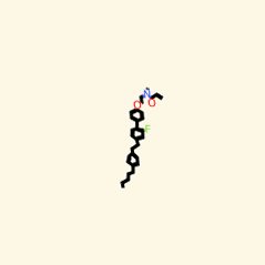 C=CC(=O)N(C)CCOc1ccc(-c2ccc(CCc3ccc(CCCCC)cc3)cc2F)cc1